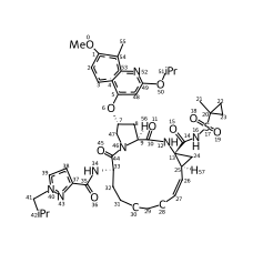 COc1ccc2c(O[C@@H]3C[C@H]4C(=O)N[C@]5(C(=O)NS(=O)(=O)C6(C)CC6)C[C@H]5/C=C\CCCCC[C@H](NC(=O)c5ccn(CC(C)C)n5)C(=O)N4C3)cc(OC(C)C)nc2c1C